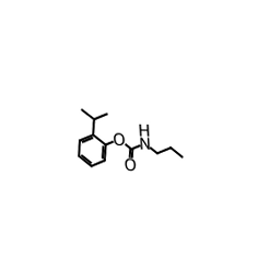 CCCNC(=O)Oc1ccccc1C(C)C